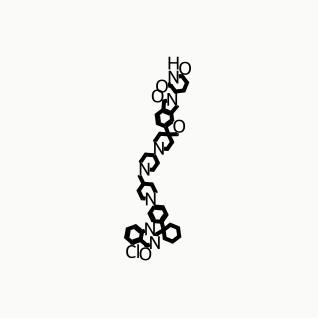 O=C1CC[C@H](N2Cc3c(ccc4c3OCC43CCN(C4CCN(CC5CCN(c6ccc7c(c6)-n6c(nc(=O)c8c(Cl)cccc86)C76CCCCC6)CC5)CC4)CC3)C2=O)C(=O)N1